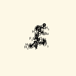 CC(C)OP(=O)(Oc1cc(C(=O)NC(C)(C)c2ccccc2)cc(CC(=O)OC(C)(C)C)c1C(C)(C)CC(=O)N(Cc1nn(CC(F)(F)F)c2c(-c3ccc(C#CC(C)(C)S(C)(=O)=O)nc3[C@H](Cc3cc(F)cc(F)c3)NC(=O)Cn3nc(C(F)(F)F)c4c3C(F)(F)[C@@H]3C[C@H]43)ccc(Cl)c12)[SH](=O)=O)OC(C)C